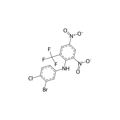 O=[N+]([O-])c1cc([N+](=O)[O-])c(Nc2ccc(Cl)c(Br)c2)c(C(F)(F)F)c1